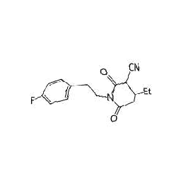 CCC1CC(=O)N(CCc2ccc(F)cc2)C(=O)C1C#N